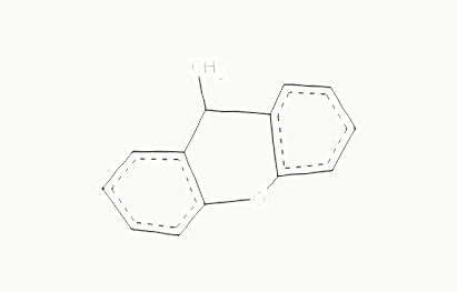 [CH2]C1c2ccccc2Oc2ccccc21